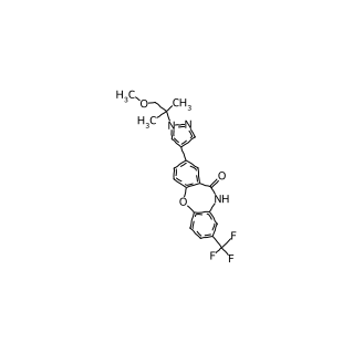 COCC(C)(C)n1cc(-c2ccc3c(c2)C(=O)Nc2cc(C(F)(F)F)ccc2O3)cn1